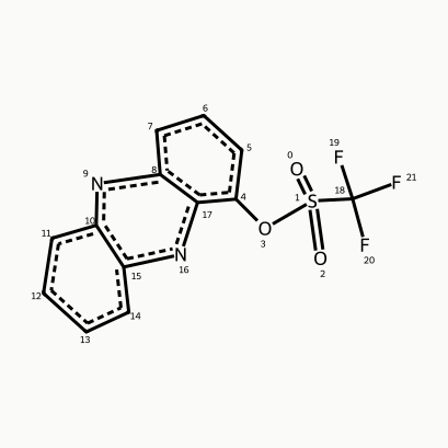 O=S(=O)(Oc1cccc2nc3ccccc3nc12)C(F)(F)F